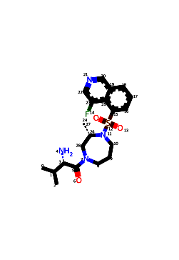 CC(C)[C@H](N)C(=O)N1CCCN(S(=O)(=O)c2cccc3cncc(F)c23)[C@@H](C)C1